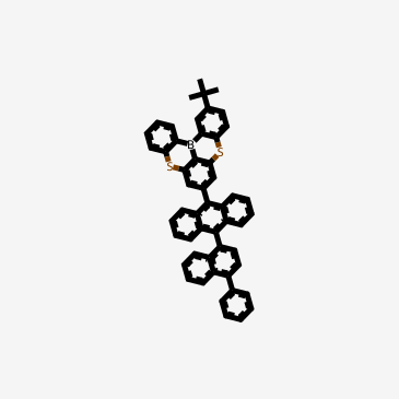 CC(C)(C)c1ccc2c(c1)B1c3ccccc3Sc3cc(-c4c5ccccc5c(-c5ccc(-c6ccccc6)c6ccccc56)c5ccccc45)cc(c31)S2